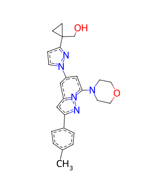 Cc1ccc(-c2cc3cc(-n4ccc(C5(CO)CC5)n4)cc(N4CCOCC4)n3n2)cc1